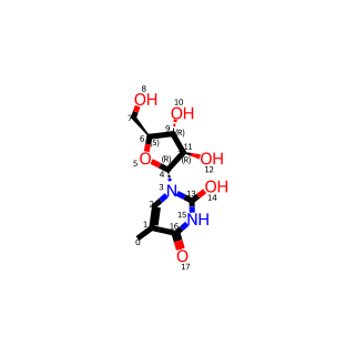 CC1=CN([C@@H]2O[C@@H](CO)[C@H](O)[C@H]2O)C(O)NC1=O